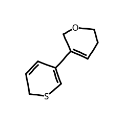 C1=CC(C2=CCCOC2)=CSC1